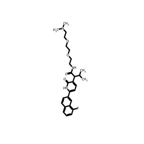 CC(C)C(C(=O)NCCOCCOCCN(C)C)c1ccc(-c2ccc3cccc(F)c3c2)[nH]c1=O